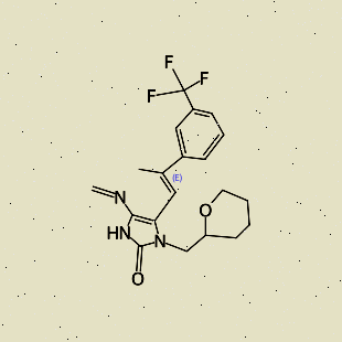 C=Nc1[nH]c(=O)n(CC2CCCCO2)c1/C=C(\C)c1cccc(C(F)(F)F)c1